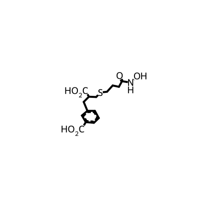 O=C(CCCSCC(Cc1cccc(C(=O)O)c1)C(=O)O)NO